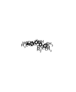 Cc1c(-c2cc(C)c3c(c2)[nH]c2ccc(C4CCN(CC(C)(C)O)CC4)cc23)cn(C)c(=O)c1C